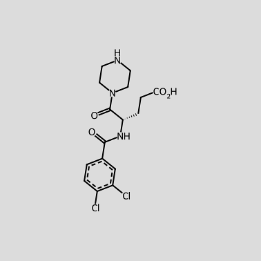 O=C(O)CC[C@H](NC(=O)c1ccc(Cl)c(Cl)c1)C(=O)N1CCNCC1